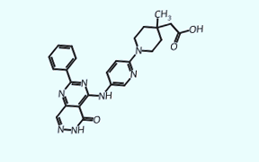 CC1(CC(=O)O)CCN(c2ccc(Nc3nc(-c4ccccc4)nc4cn[nH]c(=O)c34)cn2)CC1